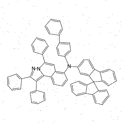 c1ccc(-c2ccc(N(c3ccc4c(c3)C3(c5ccccc5-c5ccccc53)c3ccccc3-4)c3cccc4c3cc(-c3ccccc3)n3nc(-c5ccccc5)c(-c5ccccc5)c43)cc2)cc1